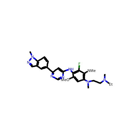 CCN(C)CCN(C)c1cc(OC)c(Nc2cc(-c3ccc4c(cnn4C)c3)ncn2)c(F)c1NC